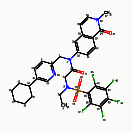 CCN(CC(=O)N(Cc1ccc(C2CCCCC2)cn1)c1ccc2c(=O)n(C)ccc2c1)S(=O)(=O)c1c(F)c(F)c(F)c(F)c1F